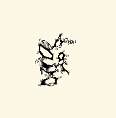 CN(CC(=O)N[C@H]1CC[C@H](Nc2nc(N3CCOCC3)nc(-n3c(C(F)F)nc4ccccc43)n2)CC1)C(=O)OC(C)(C)C